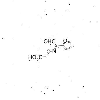 O=[C]C(=NOCC(=O)O)c1ccco1